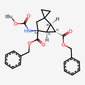 CC(C)(C)OC(=O)N[C@@]1(C(=O)OCc2ccccc2)CC2(CC2)[C@H]2[C@H](C(=O)OCc3ccccc3)[C@H]21